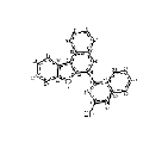 Clc1nc(-c2cc3ccccc3c3c2oc2ccccc23)c2ccccc2n1